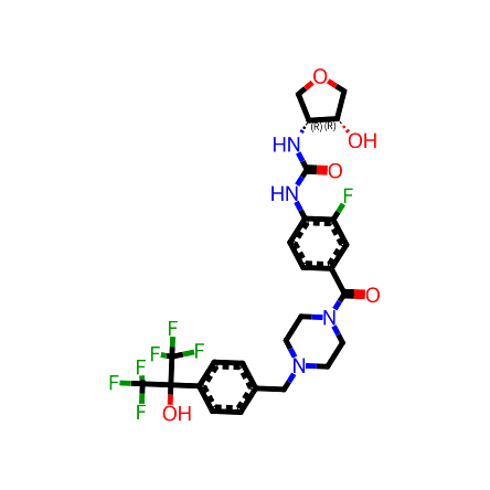 O=C(Nc1ccc(C(=O)N2CCN(Cc3ccc(C(O)(C(F)(F)F)C(F)(F)F)cc3)CC2)cc1F)N[C@@H]1COC[C@@H]1O